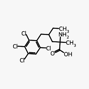 CCC(Cc1c(Cl)cc(Cl)c(Cl)c1Cl)CC(C)(N)C(=O)O